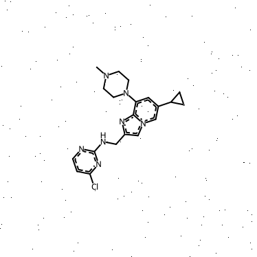 CN1CCN(c2cc(C3CC3)cn3cc(CNc4nccc(Cl)n4)nc23)CC1